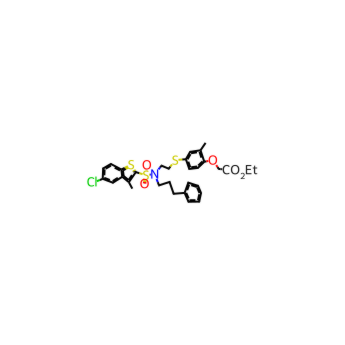 CCOC(=O)COc1ccc(SCCN(CCCc2ccccc2)S(=O)(=O)c2sc3ccc(Cl)cc3c2C)cc1C